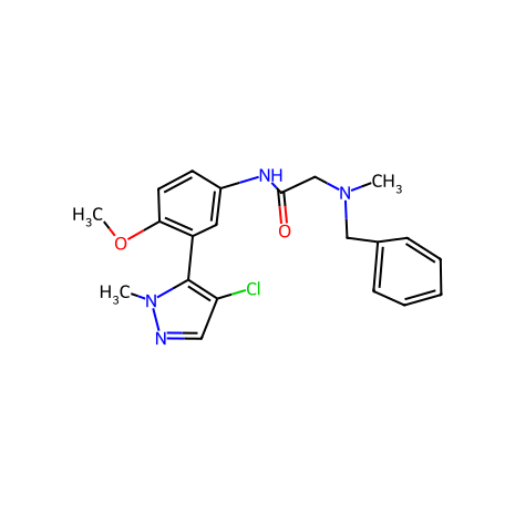 COc1ccc(NC(=O)CN(C)Cc2ccccc2)cc1-c1c(Cl)cnn1C